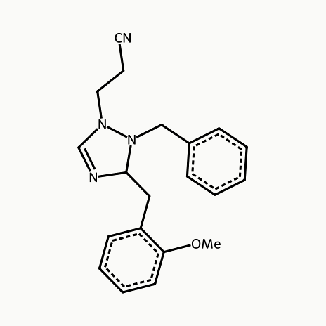 COc1ccccc1CC1N=CN(CCC#N)N1Cc1ccccc1